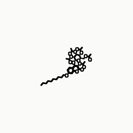 CCCCCCCCCCOc1ccc2c(O[C@H]3O[C@H](COC(C)=O)[C@@H](OC(C)=O)[C@H](OC(C)=O)[C@@H]3OC(C)=O)c(OC(C)=O)c(=O)oc2c1